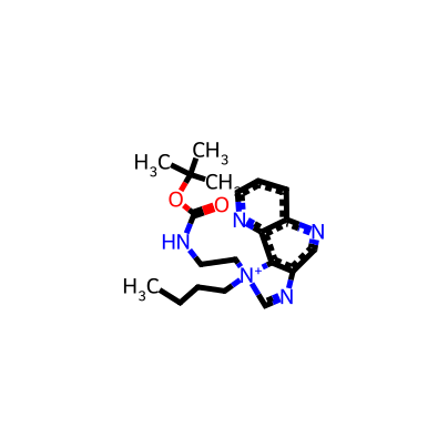 CCCC[N+]1(CCNC(=O)OC(C)(C)C)C=Nc2cnc3cccnc3c21